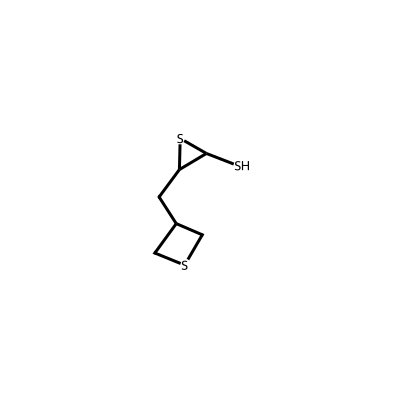 SC1SC1CC1CSC1